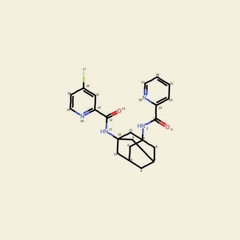 O=C(NC12CC3CC(C1)CC(NC(=O)c1cc(F)ccn1)(C3)C2)c1ccccn1